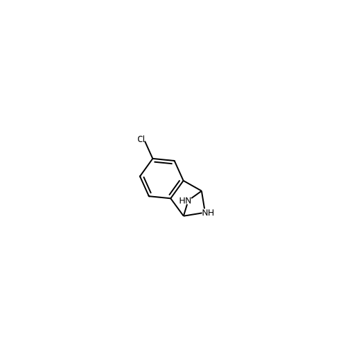 Clc1ccc2c(c1)C1NC2N1